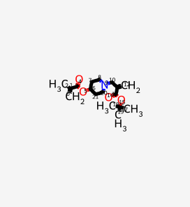 C=C(C)C(=O)OC1CCN(CC(=C)C(=O)OC(C)(C)C)CC1